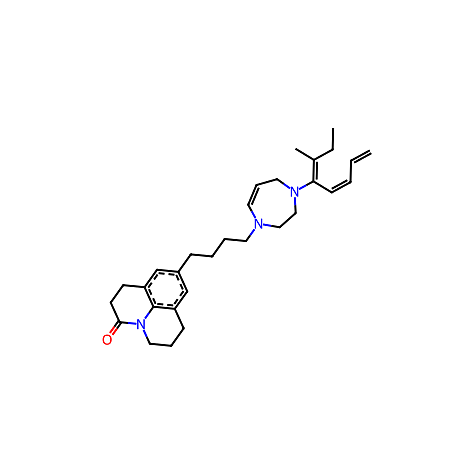 C=C/C=C\C(=C(\C)CC)N1CC=CN(CCCCc2cc3c4c(c2)CCC(=O)N4CCC3)CC1